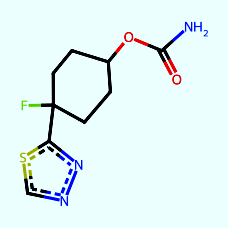 NC(=O)OC1CCC(F)(c2nncs2)CC1